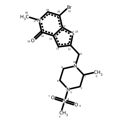 CC1CN(S(C)(=O)=O)CCN1Cc1cc2c(=O)n(C)cc(Br)c2s1